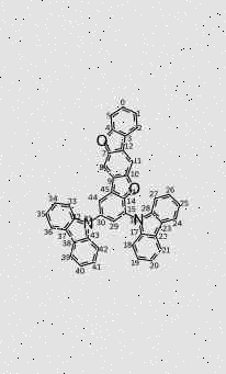 c1ccc2c(c1)oc1cc3c(cc12)oc1c(-n2c4ccccc4c4ccccc42)cc(-n2c4ccccc4c4ccccc42)cc13